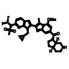 COc1cc(C(=O)N2CC[C@@H]3CCNC[C@H]32)cc2nc(-c3cc4ccc(N(C(F)F)S(C)(=O)=O)nc4n3CC3CC3)c(C)n12